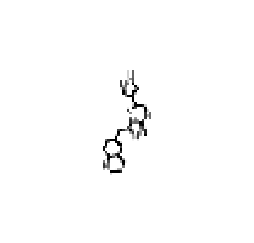 c1cnc2ccc(Cc3nnc4ncc(-c5cn[nH]c5)nn34)cc2c1